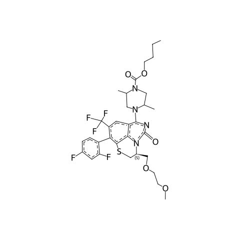 CCCCOC(=O)N1CC(C)N(c2nc(=O)n3c4c(c(-c5ccc(F)cc5F)c(C(F)(F)F)cc24)SC[C@@H]3COCCOC)CC1C